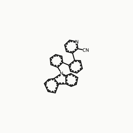 N#Cc1ncccc1-c1ccccc1-c1ccccc1-n1c2ccccc2c2ccccc21